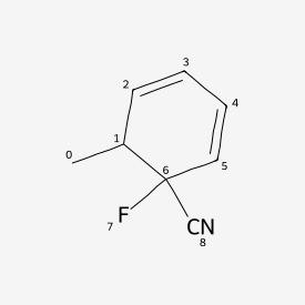 CC1C=CC=CC1(F)C#N